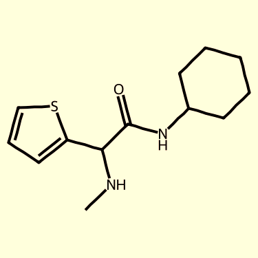 CNC(C(=O)NC1CCCCC1)c1cccs1